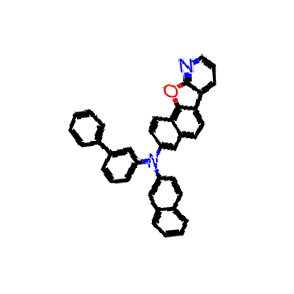 c1ccc(-c2cccc(N(c3ccc4ccccc4c3)c3ccc4c(ccc5c6cccnc6oc45)c3)c2)cc1